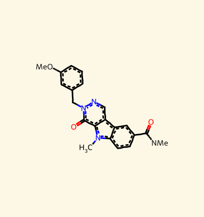 CNC(=O)c1ccc2c(c1)c1cnn(Cc3cccc(OC)c3)c(=O)c1n2C